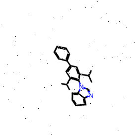 CC(C)c1cc(-c2ccccc2)cc(C(C)C)c1-n1cnc2ccccc21